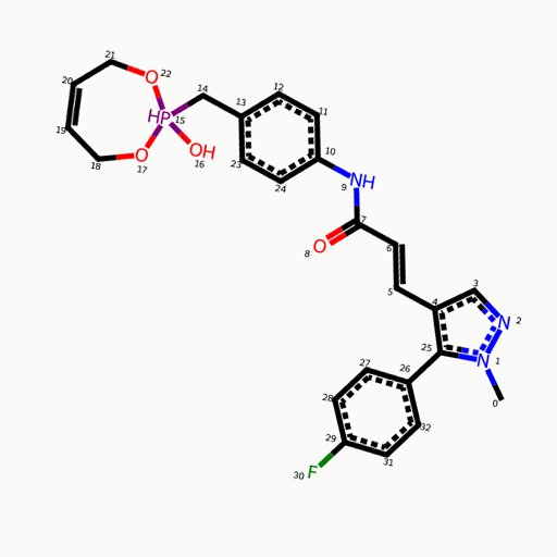 Cn1ncc(/C=C/C(=O)Nc2ccc(C[PH]3(O)OCC=CCO3)cc2)c1-c1ccc(F)cc1